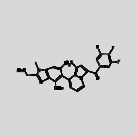 COCc1nc2c(OC)c(-c3cccn4c(C(=O)c5cc(F)c(F)c(F)c5)cc([N+](=O)[O-])c34)c(C(F)(F)F)cc2n1C